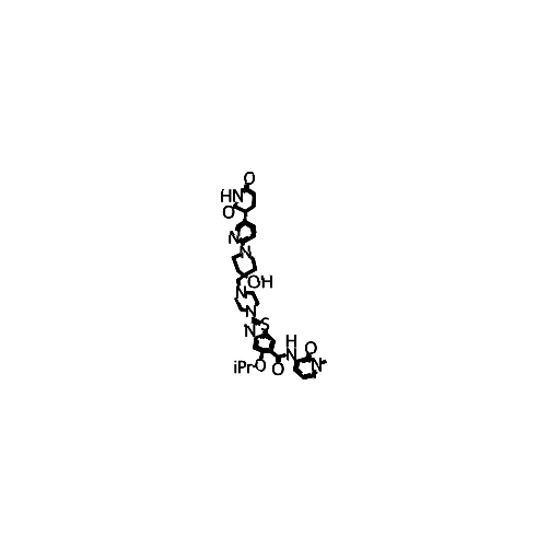 CC(C)Oc1cc2nc(N3CCN(CC4(O)CCN(c5ccc(C6CCC(=O)NC6=O)cn5)CC4)CC3)sc2cc1C(=O)Nc1cccn(C)c1=O